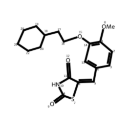 COc1ccc(C=C2SC(=O)NC2=O)cc1OCCC1CCCCC1